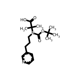 CC(C)(C)OC(=O)N(CCCc1cccnc1)C(C)(C)C(=O)O